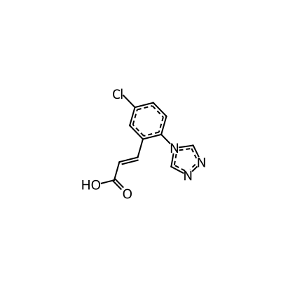 O=C(O)C=Cc1cc(Cl)ccc1-n1cnnc1